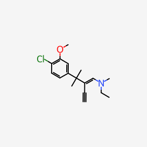 C#C/C(=C\N(C)CC)C(C)(C)c1ccc(Cl)c(OC)c1